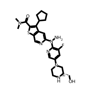 CN(C)C(=O)c1sc2cnc(N(N)c3ncc(N4CCN[C@@H](CO)C4)cc3F)cc2c1C1CCCC1